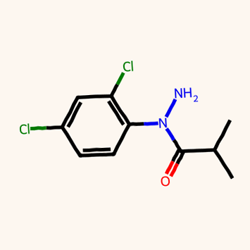 CC(C)C(=O)N(N)c1ccc(Cl)cc1Cl